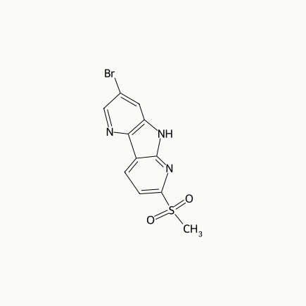 CS(=O)(=O)c1ccc2c(n1)[nH]c1cc(Br)cnc12